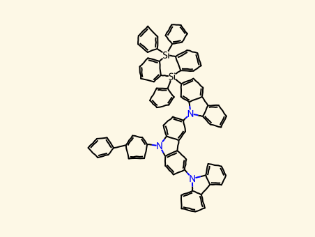 c1ccc(-c2ccc(-n3c4ccc(-n5c6ccccc6c6ccccc65)cc4c4cc(-n5c6ccccc6c6ccc([Si]7(c8ccccc8)c8ccccc8[Si](c8ccccc8)(c8ccccc8)c8ccccc87)cc65)ccc43)cc2)cc1